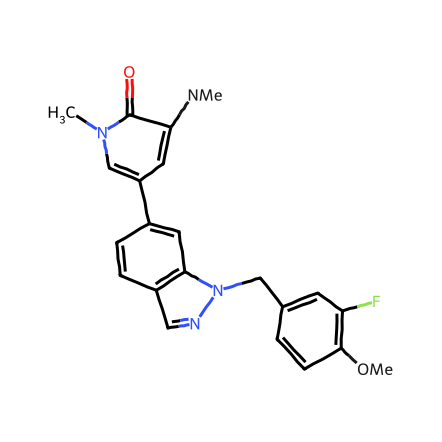 CNc1cc(-c2ccc3cnn(Cc4ccc(OC)c(F)c4)c3c2)cn(C)c1=O